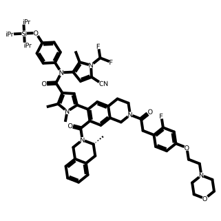 Cc1c(C(=O)N(c2ccc(O[Si](C(C)C)(C(C)C)C(C)C)cc2)c2cc(C#N)n(C(F)F)c2C)cc(-c2cc3c(cc2C(=O)N2Cc4ccccc4C[C@H]2C)CN(C(=O)Cc2ccc(OCCN4CCOCC4)cc2F)CC3)n1C